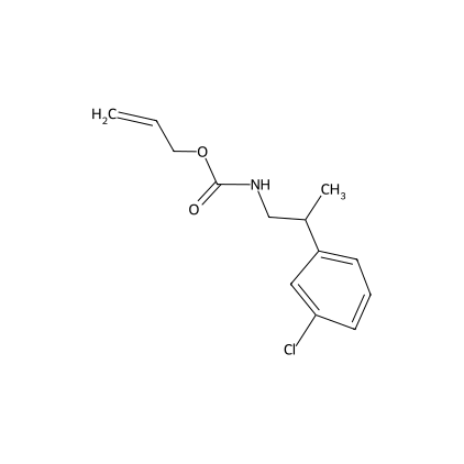 C=CCOC(=O)NCC(C)c1cccc(Cl)c1